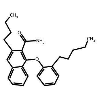 CCCCCc1ccccc1Oc1c(C(N)=O)c(CCCC)cc2ccccc12